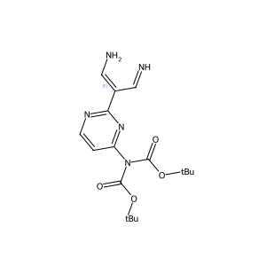 CC(C)(C)OC(=O)N(C(=O)OC(C)(C)C)c1ccnc(/C(C=N)=C/N)n1